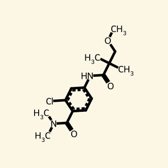 COCC(C)(C)C(=O)Nc1ccc(C(=O)N(C)C)c(Cl)c1